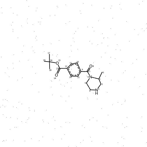 CC1CNCCN1C(=O)c1ccc(C(=O)OC(C)(C)C)cc1